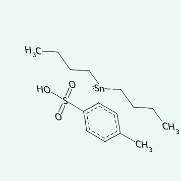 CCC[CH2][Sn][CH2]CCC.Cc1ccc(S(=O)(=O)O)cc1